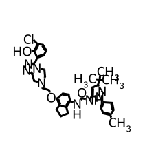 Cc1ccc(-n2nc(C(C)(C)C)cc2NC(=O)Nc2ccc(OCCN3CCn4c(nnc4-c4cccc(Cl)c4O)C3)c3c2CCC3)cc1